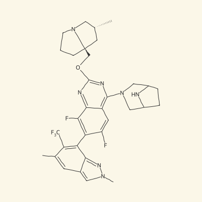 Cc1cc2cn(C)nc2c(-c2c(F)cc3c(N4CC5CCC(C4)N5)nc(OC[C@@]45CCCN4C[C@H](C)C5)nc3c2F)c1C(F)(F)F